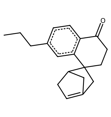 CCCc1ccc2c(c1)C1(CCC2=O)CC2=CCC1C2